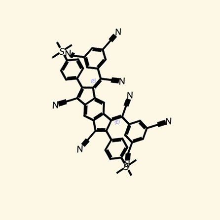 CS(C)(C)c1ccc(C2=C(C#N)c3cc4c(cc3/C2=C(\C#N)c2cc(C#N)cc(C#N)c2)/C(=C(\C#N)c2cc(C#N)cc(C#N)c2)C(c2ccc(S(C)(C)C)cc2)=C4C#N)cc1